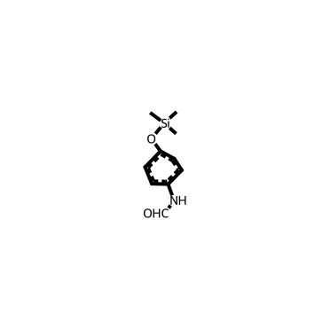 C[Si](C)(C)Oc1ccc(NC=O)cc1